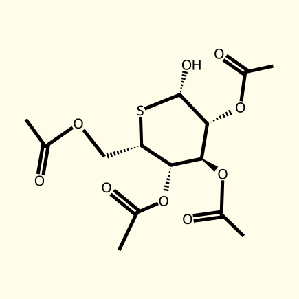 CC(=O)OC[C@@H]1S[C@H](O)[C@H](OC(C)=O)[C@@H](OC(C)=O)[C@@H]1OC(C)=O